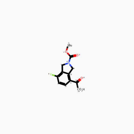 CC(C)(C)OC(=O)N1Cc2c(F)ccc(C(=O)C(=O)O)c2C1